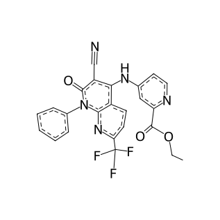 CCOC(=O)c1cc(Nc2c(C#N)c(=O)n(-c3ccccc3)c3nc(C(F)(F)F)ccc23)ccn1